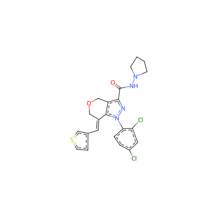 O=C(NN1CCCC1)c1nn(-c2ccc(Cl)cc2Cl)c2c1COCC2=Cc1ccsc1